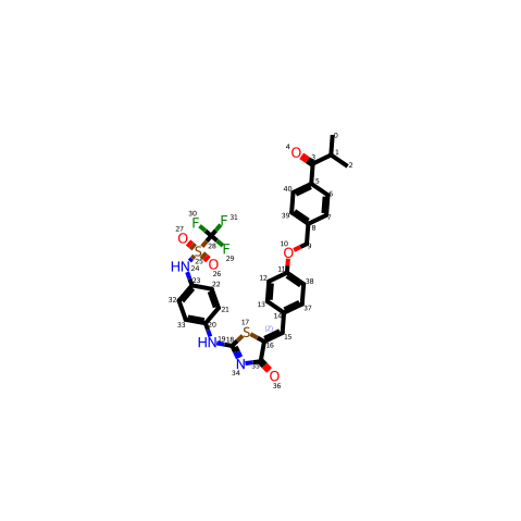 CC(C)C(=O)c1ccc(COc2ccc(/C=C3\SC(Nc4ccc(NS(=O)(=O)C(F)(F)F)cc4)=NC3=O)cc2)cc1